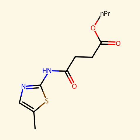 CCCOC(=O)CCC(=O)Nc1ncc(C)s1